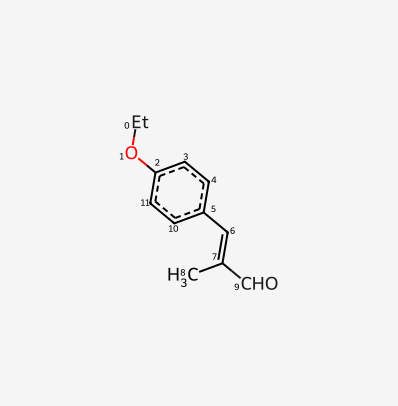 CCOc1ccc(/C=C(\C)C=O)cc1